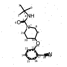 CC(C)(C)NC(=O)N1CCC(Oc2ccccc2C#N)CC1